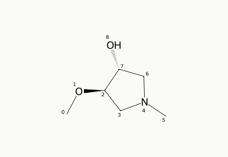 CO[C@@H]1CN(C)C[C@H]1O